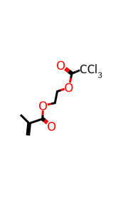 C=C(C)C(=O)OCCOC(=O)C(Cl)(Cl)Cl